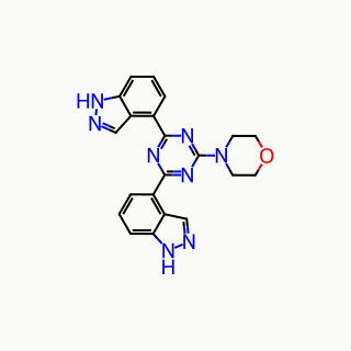 c1cc(-c2nc(-c3cccc4[nH]ncc34)nc(N3CCOCC3)n2)c2cn[nH]c2c1